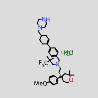 COc1ccc([C@]2(CCN(Cc3ccc(C4=CCC(CN5CCNCC5)CC4)cc3)CC(C)(C)C(F)(F)F)CCOC(C)(C)C2)cc1.Cl.Cl